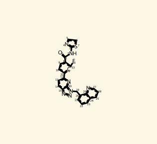 O=C(Nc1nccs1)c1ccc(-c2ccc3nnn(Cc4cccc5cccnc45)c3n2)cc1F